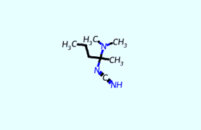 CCCC(C)(N=C=N)N(C)C